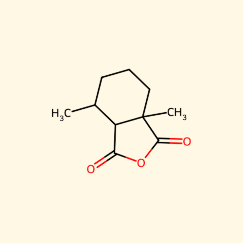 CC1CCCC2(C)C(=O)OC(=O)C12